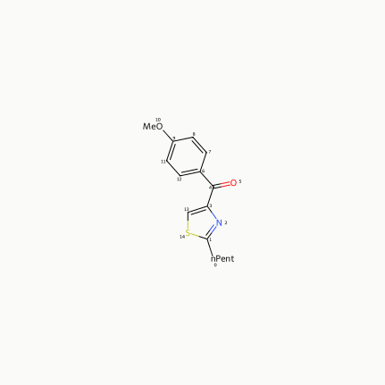 CCCCCc1nc(C(=O)c2ccc(OC)cc2)cs1